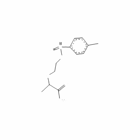 COC(=O)C(C)OCCOS(=O)(=O)c1ccc(C)cc1